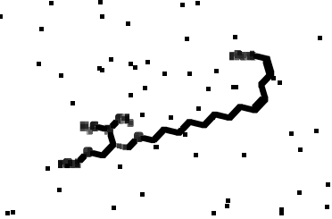 CCCCC/C=C\C/C=C\CCCCCCCCOC[C@H](COCCCCCCCC)N(C)C